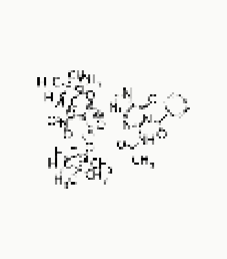 CC(=O)Nc1nc2c(ncn2[C@@H]2O[C@H](CO[Si](C)(C)C(C)(C)C)[C@@H](O[N+](=O)[O-])[C@H]2O[Si](C)(C)C(C)(C)C)c(=O)n1C(=O)c1ccccc1